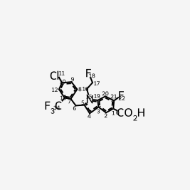 O=C(O)c1cc2cc(Cc3ccc(Cl)cc3C(F)(F)F)n(CCF)c2cc1F